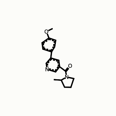 COc1ccc(-c2cncc(C(=O)N3CCCC3C)c2)cc1